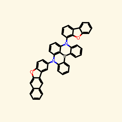 c1ccc2c(c1)B1c3ccccc3N(c3cccc4c3oc3ccccc34)c3cccc(c31)N2c1ccc2oc3cc4ccccc4cc3c2c1